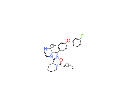 C=CC(=O)N1CCCCC1c1nc(-c2ccc(Oc3cccc(F)c3)cc2)c2c(C)nccn12